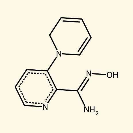 NC(=NO)c1ncccc1N1C=CC=CC1